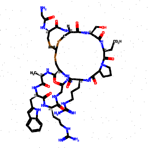 CSC12SC[C@H](NC(=O)CN)C(=O)N[C@@H](CS1)C(=O)N[C@@H](CO)C(=O)N[C@@H](CC(=O)O)C(=O)N1CCCC1C(=O)N[C@@H](CCCNC(=N)N)C(=O)N[C@H](C(=O)N[C@@H](C)C(=O)N[C@@H](Cc1cc3ccccc3[nH]1)C(=O)N[C@@H](CCCNC(=N)N)C(=O)NCC(N)=O)CS2